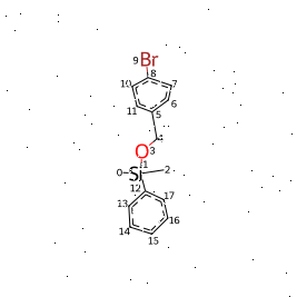 C[Si](C)(OCc1ccc(Br)cc1)c1ccccc1